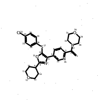 C=C(c1ccc(-c2nc(C3CCOCC3)oc2Sc2ccc(Cl)cc2)cn1)N1CCOCC1